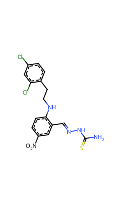 NC(=S)NN=Cc1cc([N+](=O)[O-])ccc1NCCc1ccc(Cl)cc1Cl